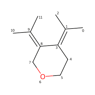 CC(C)=C1CCOCC1=C(C)C